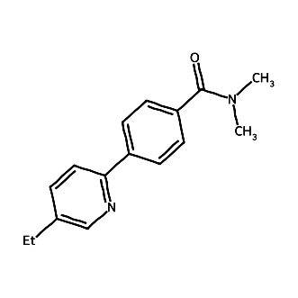 CCc1ccc(-c2ccc(C(=O)N(C)C)cc2)nc1